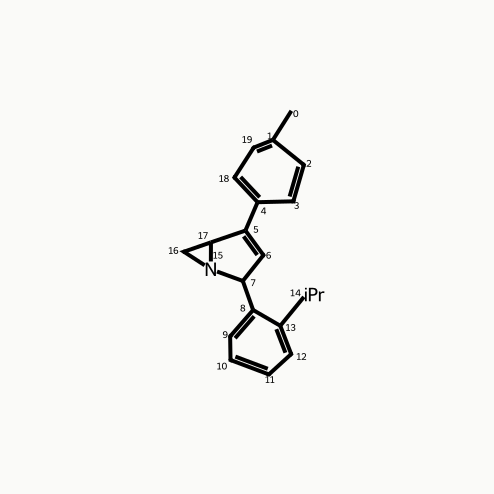 Cc1ccc(C2=CC(c3ccccc3C(C)C)N3CC23)cc1